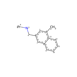 Cc1cc(C[N]C(C)C)cc2ccccc12